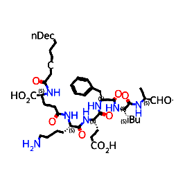 CCCCCCCCCCCCCCCC(=O)N[C@@H](CCC(=O)N[C@@H](CCCCN)C(=O)N[C@@H](CCC(=O)O)C(=O)N[C@@H](Cc1ccccc1)C(=O)N[C@H](C(=O)N[C@@H](C)[C]=O)[C@@H](C)CC)C(=O)O